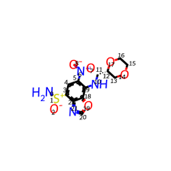 N[S+]([O-])c1cc([N+](=O)[O-])c(NC[C@H]2COCCO2)c2ocnc12